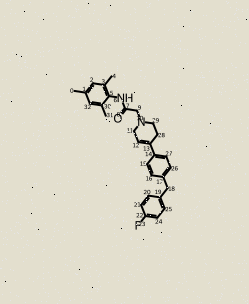 Cc1cc(C)c(NC(=O)CN2CC=C(c3ccc(Cc4ccc(F)cc4)cc3)CC2)c(C)c1